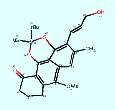 COc1c2c(c3c4c(c(/C=C/CO)c(C)cc14)O[Si](C(C)(C)C)(C(C)(C)C)O3)C(=O)CCC2